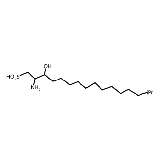 CC(C)CCCCCCCCCCCC(O)C(N)CS(=O)(=O)O